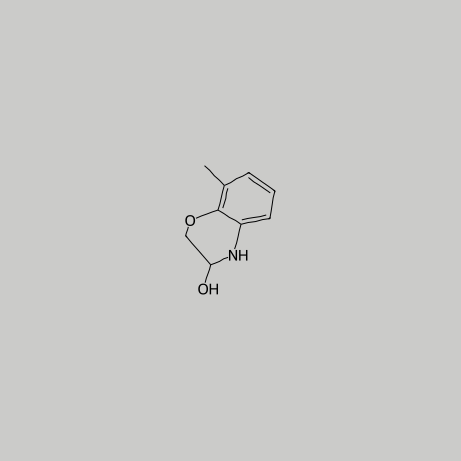 Cc1cccc2c1OCC(O)N2